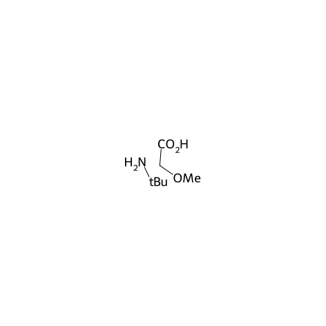 CC(C)(C)N.COCC(=O)O